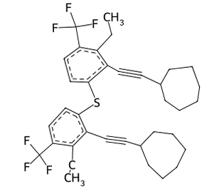 CCc1c(C(F)(F)F)ccc(Sc2ccc(C(F)(F)F)c(CC)c2C#CC2CCCCCC2)c1C#CC1CCCCCC1